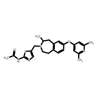 CC(=O)Nc1ncc(CN2CCc3ccc(Oc4cc(C)nc(C)c4)cc3CC2C)s1